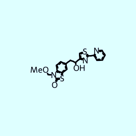 COCn1c(=O)sc2cc(CC(O)c3csc(-c4ccccn4)n3)ccc21